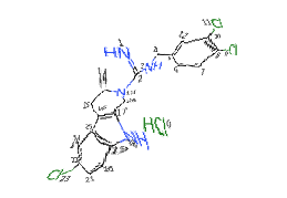 Cl.N=C(NCc1ccc(Cl)c(Cl)c1)N1CCc2c([nH]c3ccc(Cl)cc23)C1